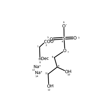 CCCCCCCCCCCC(=O)[O-].O=S(=O)([O-])OCC(O)CO.[Na+].[Na+]